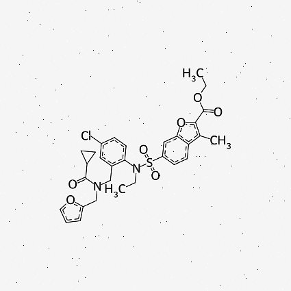 CCOC(=O)c1oc2cc(S(=O)(=O)N(CC)c3ccc(Cl)cc3CN(Cc3ccco3)C(=O)C3CC3)ccc2c1C